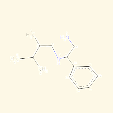 CC(C)C(C)CNC(CN)c1ccccc1